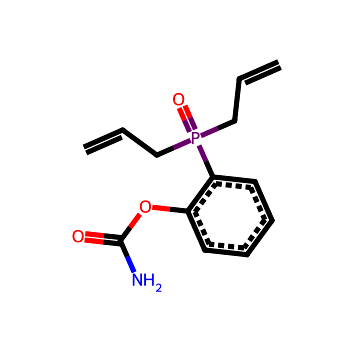 C=CCP(=O)(CC=C)c1ccccc1OC(N)=O